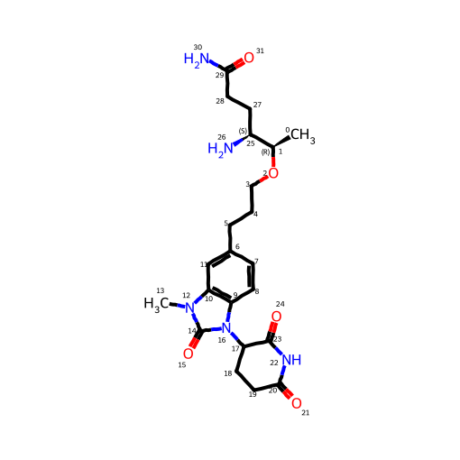 C[C@@H](OCCCc1ccc2c(c1)n(C)c(=O)n2C1CCC(=O)NC1=O)[C@@H](N)CCC(N)=O